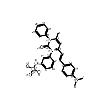 Cc1cc(C=Cc2ccc(N(C)C)cc2)[n+](-c2ccccc2)c(=O)n1-c1ccccc1.[O-][Cl+3]([O-])([O-])[O-]